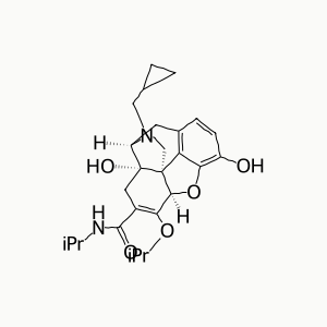 CC(C)NC(=O)C1=C(OC(C)C)[C@@H]2Oc3c(O)ccc4c3[C@@]23CCN(CC2CC2)[C@H](C4)[C@]3(O)C1